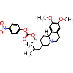 COc1cc2c(cc1OC)[C@H]1C[C@@H](COC(=O)Oc3ccc([N+](=O)[O-])cc3)[C@H](CC(C)C)CN1CC2